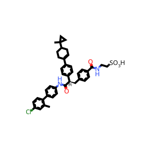 Cc1cc(Cl)ccc1-c1ccc(NC(=O)[C@H](Cc2ccc(C(=O)NCCS(=O)(=O)O)cc2)c2ccc(C3=CCC(C4(C)CC4)CC3)cc2)cc1